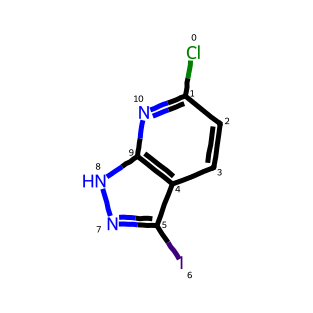 Clc1ccc2c(I)n[nH]c2n1